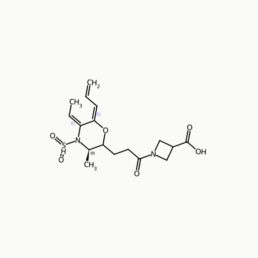 C=C/C=C1/OC(CCC(=O)N2CC(C(=O)O)C2)[C@@H](C)N([SH](=O)=O)/C1=C/C